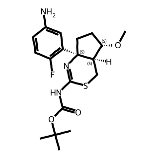 CO[C@H]1CC[C@]2(c3cc(N)ccc3F)N=C(NC(=O)OC(C)(C)C)SC[C@H]12